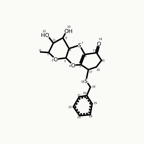 CC1OC2OC3=C(SC2C(O)C1O)C(=O)CCC3SCc1ccccc1